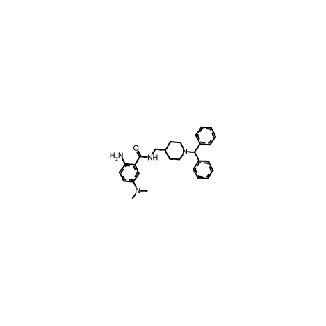 CN(C)c1ccc(N)c(C(=O)NCC2CCN(C(c3ccccc3)c3ccccc3)CC2)c1